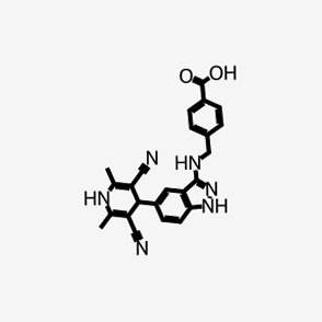 CC1=C(C#N)C(c2ccc3[nH]nc(NCc4ccc(C(=O)O)cc4)c3c2)C(C#N)=C(C)N1